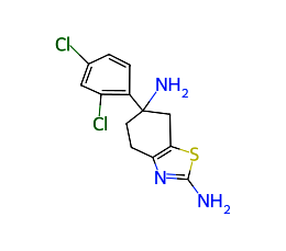 Nc1nc2c(s1)CC(N)(c1ccc(Cl)cc1Cl)CC2